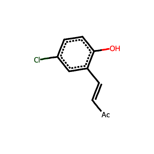 CC(=O)/C=C/c1cc(Cl)ccc1O